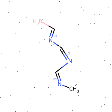 B/C=N/C=N\C=N/C